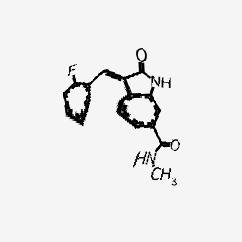 CNC(=O)c1ccc2c(c1)NC(=O)/C2=C/c1ccccc1F